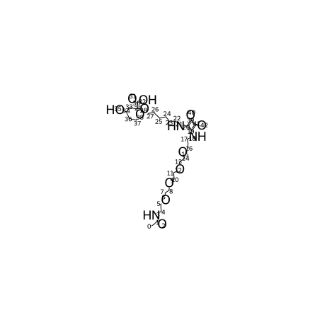 CC(=O)NCCOCCOCCOCCOCCNc1c(NCCCCCCOC2(C(=O)O)CC(O)CCO2)c(=O)c1=O